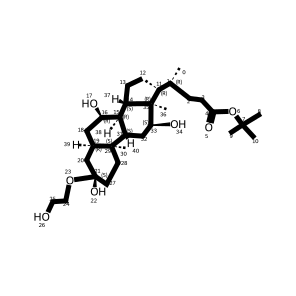 C[C@H](CCC(=O)OC(C)(C)C)[C@H]1CC[C@H]2[C@@H]3[C@H](O)C[C@@H]4C[C@@](O)(OCCO)CC[C@]4(C)[C@H]3C[C@H](O)[C@]12C